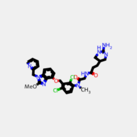 COc1nc2c(OCc3c(Cl)ccc(N(C)C(=O)CNC(=O)CCC4CN=C(N)NC4)c3Cl)cccc2n1Cc1ccccn1